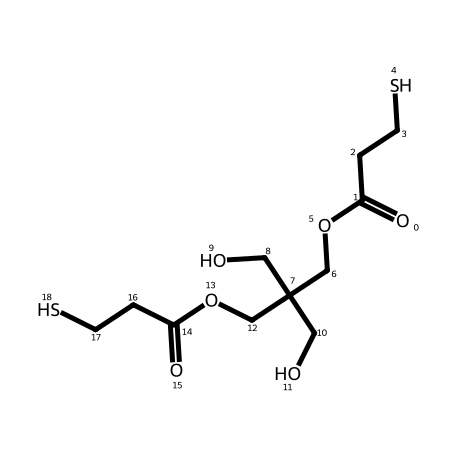 O=C(CCS)OCC(CO)(CO)COC(=O)CCS